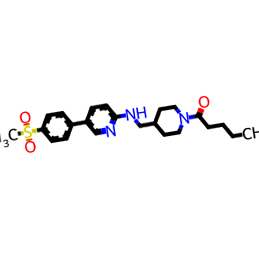 CCCCC(=O)N1CCC(CNc2ccc(-c3ccc(S(C)(=O)=O)cc3)cn2)CC1